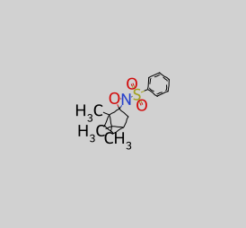 CC1(C)C2CCC1(C)C1(C2)ON1S(=O)(=O)c1ccccc1